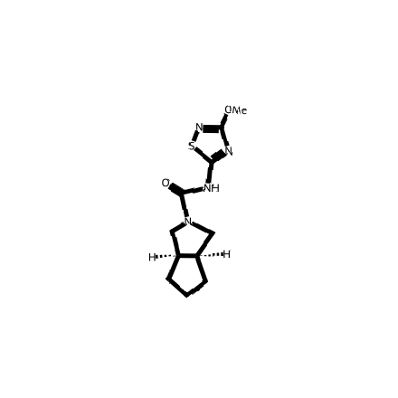 COc1nsc(NC(=O)N2C[C@H]3CCC[C@H]3C2)n1